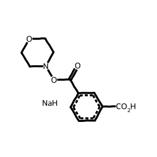 O=C(O)c1cccc(C(=O)ON2CCOCC2)c1.[NaH]